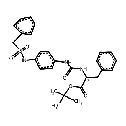 CC(C)(C)OC(=O)[C@H](Cc1ccccc1)NC(=O)Nc1ccc(NS(=O)(=O)Cc2ccccc2)cc1